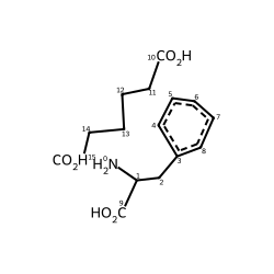 NC(Cc1ccccc1)C(=O)O.O=C(O)CCCCC(=O)O